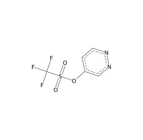 O=S(=O)(Oc1ccnnc1)C(F)(F)F